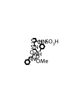 COC(=O)NC(Cc1ccccc1)C(=O)N[C@@H](Cc1ccc(NS(=O)(=O)O)cc1)c1csc(-c2sccc2Cl)n1